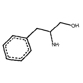 [NH]C(CO)Cc1ccccc1